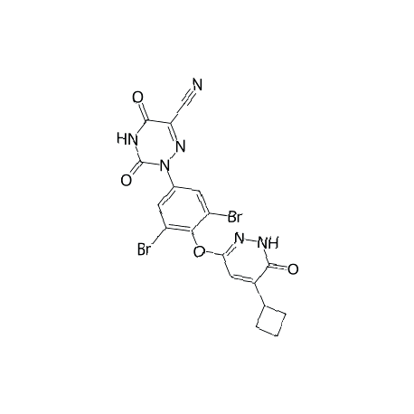 N#Cc1nn(-c2cc(Br)c(Oc3cc(C4CCC4)c(=O)[nH]n3)c(Br)c2)c(=O)[nH]c1=O